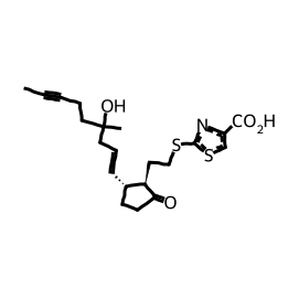 CC#CCCC(C)(O)C/C=C/[C@H]1CCC(=O)[C@@H]1CCSc1nc(C(=O)O)cs1